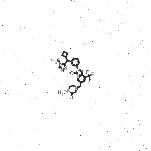 CN1CCN(Cc2cc(C(F)(F)F)c3cn(-c4cccc(C(c5nncn5C)C5CCC5)c4)c(=O)n3c2)CC1=O